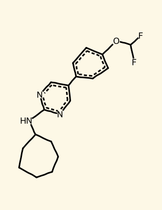 FC(F)Oc1ccc(-c2cnc(NC3CCCCCC3)nc2)cc1